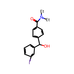 CCN(CC)C(=O)c1ccc(C(O)c2cccc(I)c2)cc1